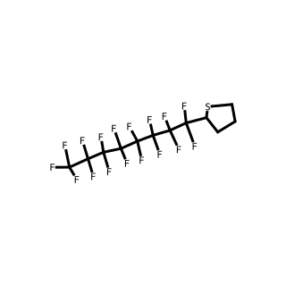 FC(F)(F)C(F)(F)C(F)(F)C(F)(F)C(F)(F)C(F)(F)C(F)(F)C(F)(F)C1CCCS1